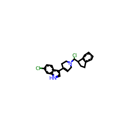 Clc1ccc2c(C3=CCN([C@@H](Cl)C4CCc5ccccc54)CC3)c[nH]c2c1